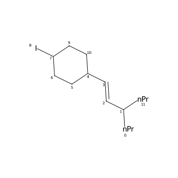 CCCC(/C=C/C1CCC(I)CC1)CCC